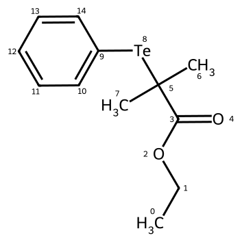 CCOC(=O)C(C)(C)[Te]c1ccccc1